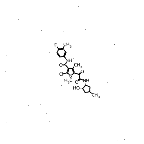 Cc1cc(NC(=O)c2c(C)c(C(=O)C(=O)N[C@@H]3CC(C)C[C@@H]3O)n(C)c2Cl)ccc1F